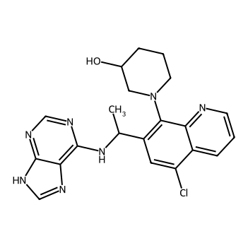 CC(Nc1ncnc2[nH]cnc12)c1cc(Cl)c2cccnc2c1N1CCCC(O)C1